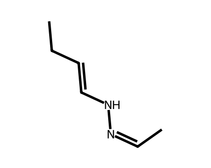 C/C=N\N/C=C/CC